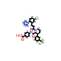 O=C(O)c1ccc(NC(=O)C2C(c3cccc(C(F)(F)F)c3)CCCN2C(=O)C=Cc2cc(Cl)ccc2-n2cnnn2)cc1